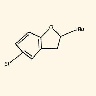 CCc1ccc2c(c1)CC(C(C)(C)C)O2